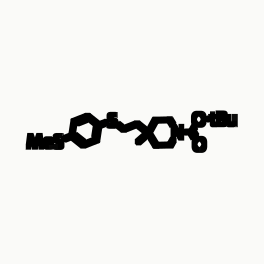 CSc1ccc(SCCC2(C)CCN(C(=O)OC(C)(C)C)CC2)cc1